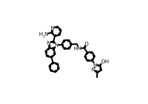 Cc1cc(O)n(-c2ccc(C(=O)NCc3ccc(-n4c(-c5cccnc5N)nc5ccc(-c6ccccc6)cc54)cc3)cc2)n1